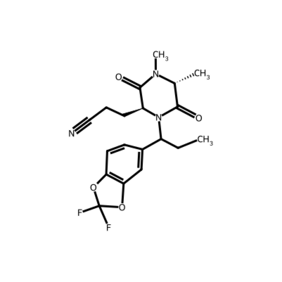 CCC(c1ccc2c(c1)OC(F)(F)O2)N1C(=O)[C@@H](C)N(C)C(=O)[C@@H]1CCC#N